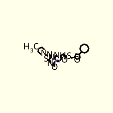 CC1CCN(C2=NN3C(=N)/C(=C\c4ccc(SCC5CC(C6CCCCCCC6)CO5)o4)C(=O)N=C3S2)CC1